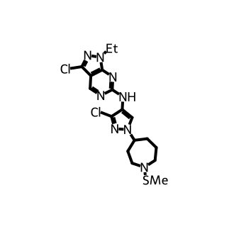 CCn1nc(Cl)c2cnc(Nc3cn(C4CCCN(SC)CC4)nc3Cl)nc21